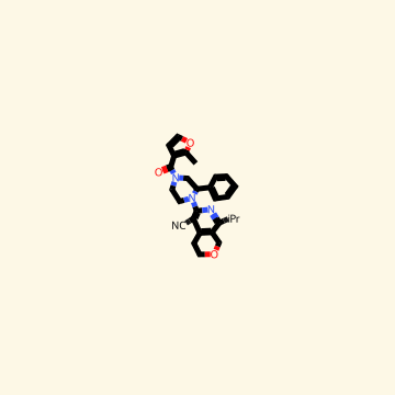 Cc1occc1C(=O)N1CCN(c2nc(C(C)C)c3c(c2C#N)CCOC3)C(c2ccccc2)C1